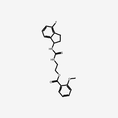 COc1ccccc1C(=O)OCCNC(=S)NC1CCc2c(F)cccc21